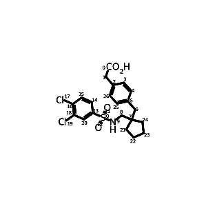 O=C(O)Cc1ccc(CC2(CNS(=O)(=O)c3ccc(Cl)c(Cl)c3)CCCC2)cc1